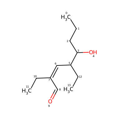 CCCC(O)C(C=C(C=O)CC)CC